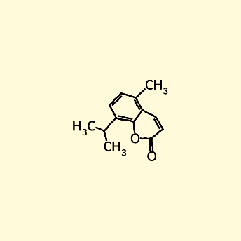 Cc1ccc(C(C)C)c2oc(=O)ccc12